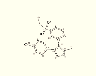 CCS(=O)(=O)c1cccc(-n2c(C)ccc2-c2ccc(Cl)cc2)c1